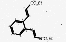 CCOC(=O)C=Cc1ccccc1C=CC(=O)OCC